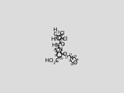 Cc1[nH]c(C(=O)Nc2nc3c(OCCN4CCOCC4)cc(C(=O)O)cc3s2)c(Cl)c1Cl